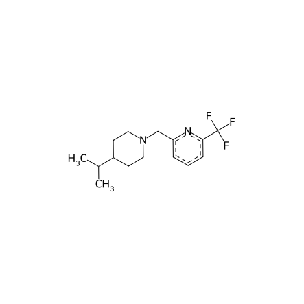 CC(C)C1CCN(Cc2cccc(C(F)(F)F)n2)CC1